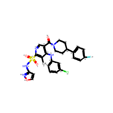 Cc1c(S(=O)(=O)Nc2ccon2)ncc(C(=O)N2CCC(c3ccc(F)cc3)CC2)c1Nc1cccc(Cl)c1